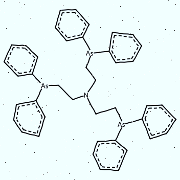 c1ccc([As](CCN(CC[As](c2ccccc2)c2ccccc2)CC[As](c2ccccc2)c2ccccc2)c2ccccc2)cc1